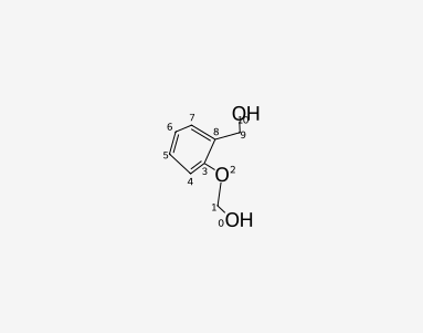 OCOc1ccccc1CO